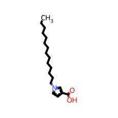 CCCCCCCCCCCCCCn1ccc(C(=O)O)c1